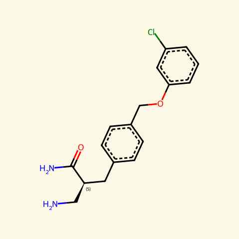 NC[C@H](Cc1ccc(COc2cccc(Cl)c2)cc1)C(N)=O